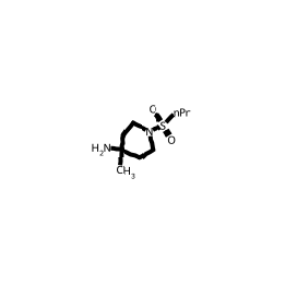 CCCS(=O)(=O)N1CCC(C)(N)CC1